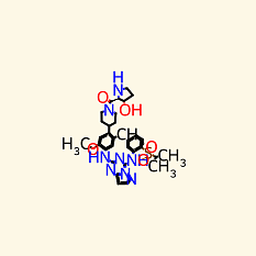 COc1cc(C2CCN(C(=O)[C@H]3NCC[C@@H]3O)CC2)c(C)cc1Nc1nc(Nc2ccccc2S(=O)(=O)C(C)C)n2nccc2n1